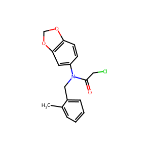 Cc1ccccc1CN(C(=O)CCl)c1ccc2c(c1)OCO2